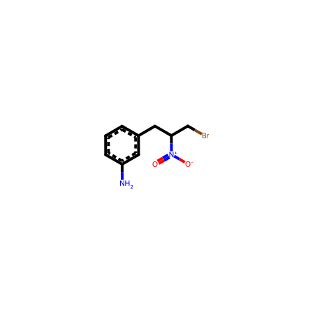 Nc1cccc(CC(CBr)[N+](=O)[O-])c1